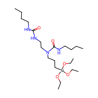 CCCCNC(=O)NCCN(CCC[Si](OCC)(OCC)OCC)C(=O)NCCCC